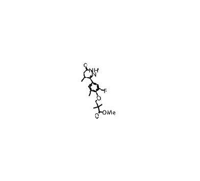 COC(=O)C(C)(C)COc1c(C)cc(C2=NNC(=O)CC2C)cc1F